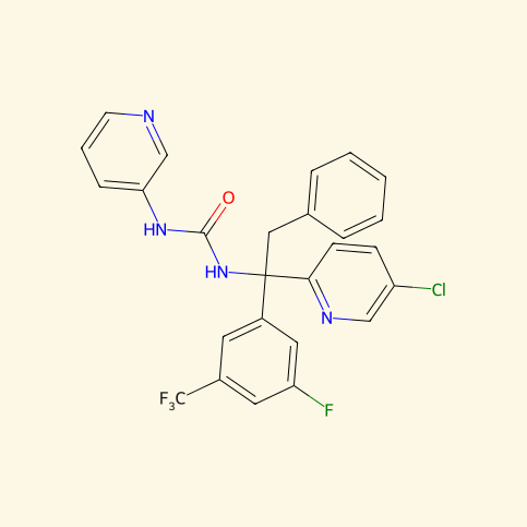 O=C(Nc1cccnc1)NC(Cc1ccccc1)(c1cc(F)cc(C(F)(F)F)c1)c1ccc(Cl)cn1